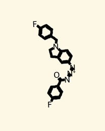 O=C(N=[N+]=Nc1ccc2c(c1)CCN2Cc1ccc(F)cc1)c1ccc(F)cc1